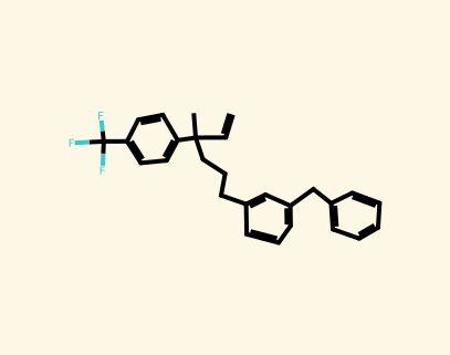 C=CC(C)(CCCc1cccc(Cc2ccccc2)c1)c1ccc(C(F)(F)F)cc1